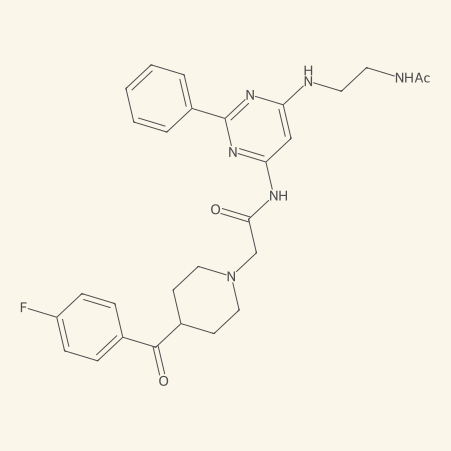 CC(=O)NCCNc1cc(NC(=O)CN2CCC(C(=O)c3ccc(F)cc3)CC2)nc(-c2ccccc2)n1